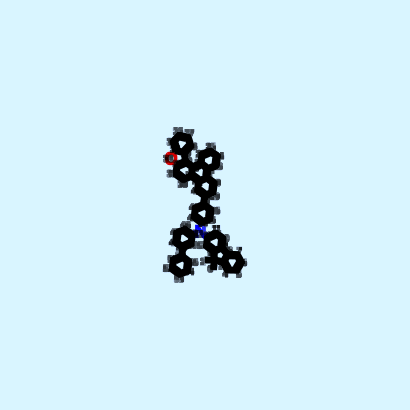 CC1(C)c2ccccc2-c2ccc(N(c3ccc(-c4ccc5c6ccccc6c6c(ccc7oc8ccccc8c76)c5c4)cc3)c3cccc(-c4ccccc4)c3)cc21